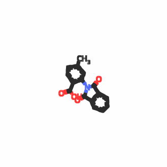 Cc1ccc(C(=O)O)c(N2C(=O)c3ccccc3C2=O)c1